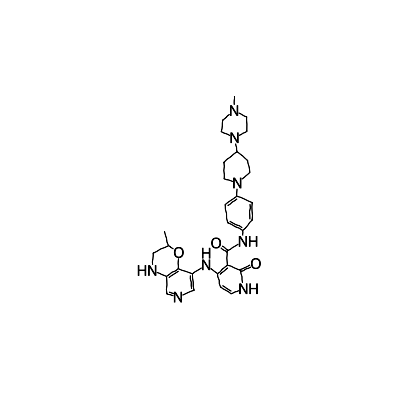 CC1CNc2cncc(Nc3cc[nH]c(=O)c3C(=O)Nc3ccc(N4CCC(N5CCN(C)CC5)CC4)cc3)c2O1